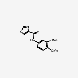 COc1ccc(NC(=O)c2cscn2)cc1OC